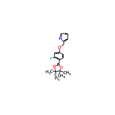 CC1(C)OB(c2ccc(OCc3ccccn3)cc2F)OC1(C)C